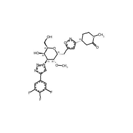 CO[C@@H]1[C@@H](n2cc(-c3cc(F)c(F)c(F)c3)nn2)[C@@H](O)[C@@H](CO)O[C@@H]1Cc1cc([C@@H]2CCN(C)C(=O)C2)no1